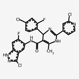 CC1=C(C(=O)Nc2cc3c(Cl)n[nH]c3cc2F)C(c2ccc(Cl)cc2F)N=C(c2ccnc(Cl)c2)N1